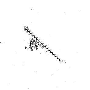 CCCCCCCCCCCCCCCC(=O)OC(CCCCCCCCCCCCCCC)CC(=O)N[C@@H](CCC(N)=O)C(=O)N[C@H](C(=O)O)[C@@H](C)O